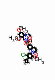 COc1ccc(CN(c2ncco2)S(=O)(=O)c2ccc3c(ccc(=O)n3-c3cc(Cl)c(C4CCC4)cc3OC)c2)c(OC)c1